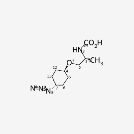 C[C@@H](CO[C@H]1CC[C@H](N=[N+]=[N-])CC1)NC(=O)O